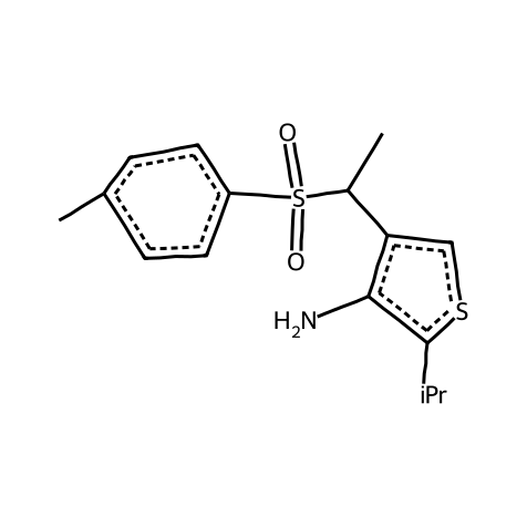 Cc1ccc(S(=O)(=O)C(C)c2csc(C(C)C)c2N)cc1